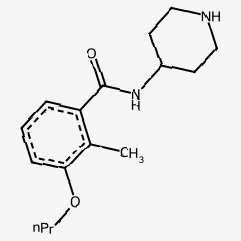 CCCOc1cccc(C(=O)NC2CCNCC2)c1C